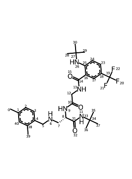 Cc1ccc(CNC[C@H](NC(=O)CNC(=O)c2cc(C(F)(F)F)ccc2NC(C)(C)C)C(=O)NC(C)(C)C)c(C)c1